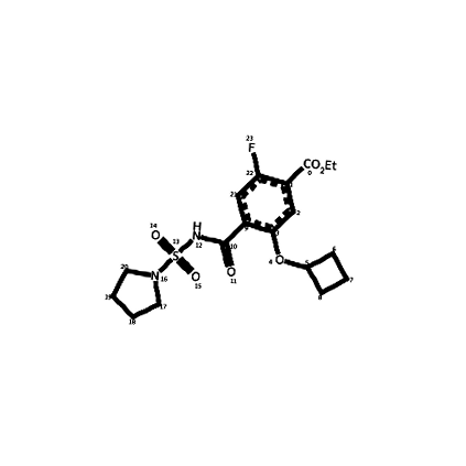 CCOC(=O)c1cc(OC2CCC2)c(C(=O)NS(=O)(=O)N2CCCC2)cc1F